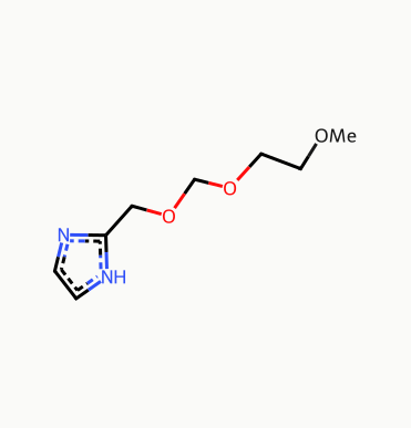 COCCOCOCc1ncc[nH]1